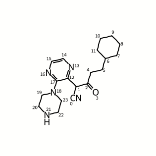 N#CC(C(=O)CCC1CCCCC1)c1nccnc1N1CCNCC1